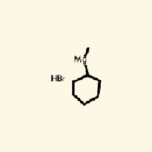 Br.[CH3][Mg][CH]1CCCCC1